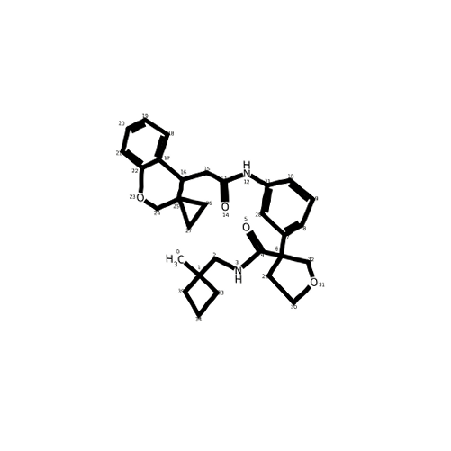 CC1(CNC(=O)C2(c3cccc(NC(=O)CC4c5ccccc5OCC45CC5)c3)CCOC2)CCC1